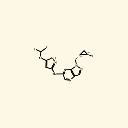 FC(F)Oc1cc(Nc2cnc3cnn(C[C@@H]4C[C@H]4F)c3n2)n[nH]1